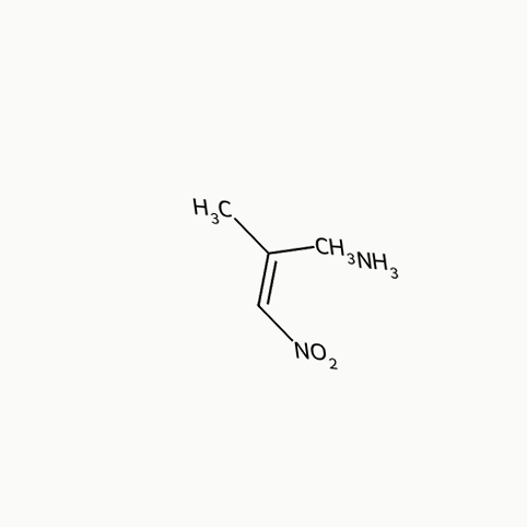 CC(C)=C[N+](=O)[O-].N